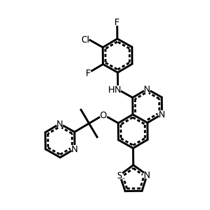 CC(C)(Oc1cc(-c2nccs2)cc2ncnc(Nc3ccc(F)c(Cl)c3F)c12)c1ncccn1